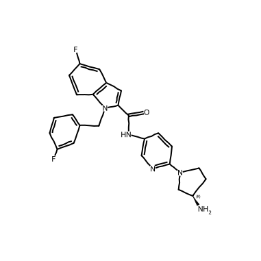 N[C@@H]1CCN(c2ccc(NC(=O)c3cc4cc(F)ccc4n3Cc3cccc(F)c3)cn2)C1